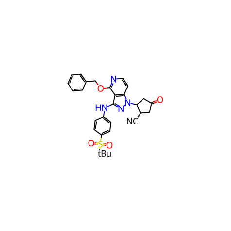 CC(C)(C)S(=O)(=O)c1ccc(Nc2nn(C3CC(=O)C[C@H]3C#N)c3ccnc(OCc4ccccc4)c23)cc1